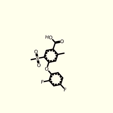 Cc1cc(Oc2ccc(F)cc2F)c(S(C)(=O)=O)cc1C(=O)O